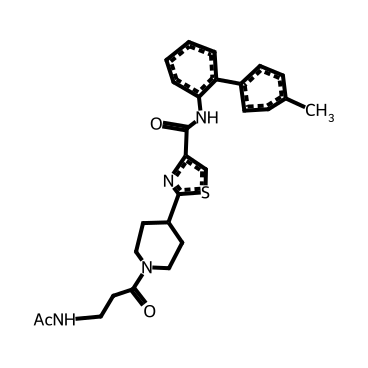 CC(=O)NCCC(=O)N1CCC(c2nc(C(=O)Nc3ccccc3-c3ccc(C)cc3)cs2)CC1